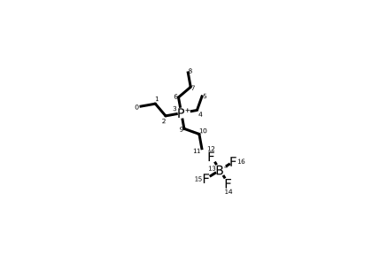 CCC[P+](CC)(CCC)CCC.F[B-](F)(F)F